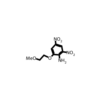 COCCOc1cc([N+](=O)[O-])cc([N+](=O)[O-])c1N